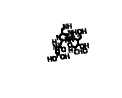 N=Cc1nc(C(N)=O)[nH]c1N.O=CC(O)C(O)C(O)CO.O=[PH](O)O